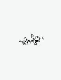 CCC[Si](C)(OC)OC.CN=C(N)[N+](C)(C)C